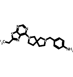 Nc1ccc(CN2CCC3(CCN(c4ncnc5sc(CC(F)(F)F)nc45)C3)C2)cc1